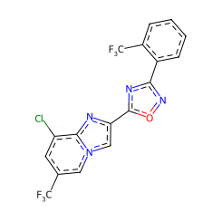 FC(F)(F)c1cc(Cl)c2nc(-c3nc(-c4ccccc4C(F)(F)F)no3)cn2c1